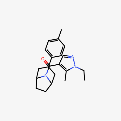 CCn1ncc(C(=O)N2C3CCC2CC(c2ccc(C)cc2)C3)c1C